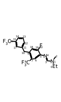 CCN(C)C=Nc1cc(C(F)(F)F)c(Cc2cccc(C(F)(F)F)c2)cc1F